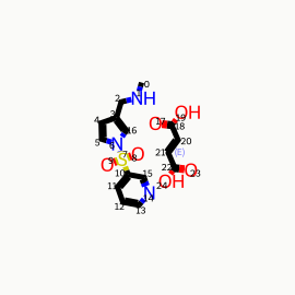 CNCc1ccn(S(=O)(=O)c2cccnc2)c1.O=C(O)/C=C/C(=O)O